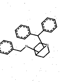 c1ccc(C[N]C2C3CCN(CC3)C2C(c2ccccc2)c2ccccc2)cc1